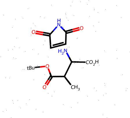 CC(C(=O)OC(C)(C)C)C(N)C(=O)O.O=C1C=CC(=O)N1